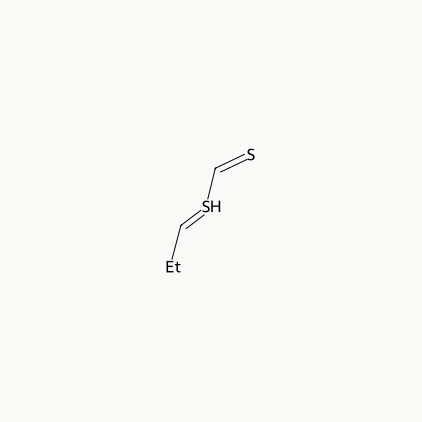 CCC=[SH]C=S